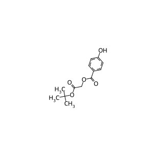 CC(C)(C)OC(=O)COC(=O)c1ccc(O)cc1